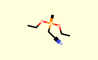 C=P(CC#N)(OCC)OCC